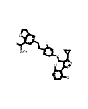 COC(=O)c1cc(CCc2ccc(OCc3c(-c4c(Cl)cccc4Cl)noc3C3CC3)cc2Cl)cc2c1OCC2